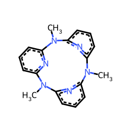 CN1c2cccc(n2)N(C)c2cccc(n2)N(C)c2cccc1n2